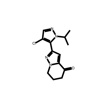 CC(C)n1ncc(Cl)c1-c1cc2n(n1)CCCC2=O